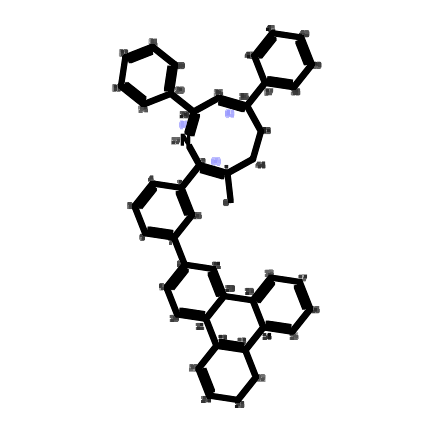 C/C1=C(c2cccc(-c3ccc4c5c(c6ccccc6c4c3)CCC=C5)c2)/N=C(c2ccccc2)\C=C(\c2ccccc2)CC1